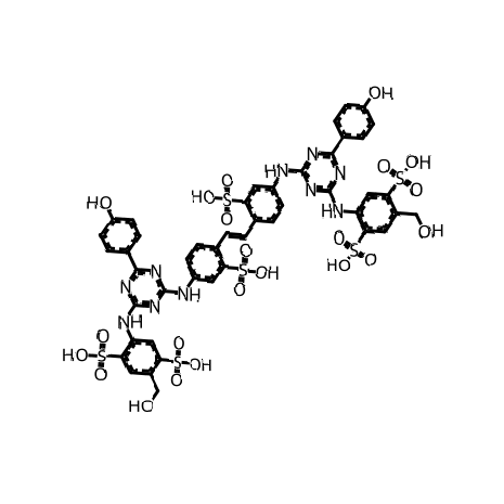 O=S(=O)(O)c1cc(Nc2nc(Nc3cc(S(=O)(=O)O)c(CO)cc3S(=O)(=O)O)nc(-c3ccc(O)cc3)n2)ccc1C=Cc1ccc(Nc2nc(Nc3cc(S(=O)(=O)O)c(CO)cc3S(=O)(=O)O)nc(-c3ccc(O)cc3)n2)cc1S(=O)(=O)O